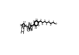 CCCCCCCCc1ccc(-c2noc([C@@H]3CCN3)n2)cc1